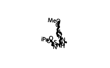 COCOCCN1CCN(c2cc(Nc3ncc(C(=O)OC(C)C)s3)nc(C)n2)CC1